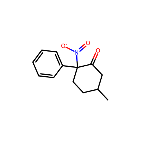 CC1CCC(c2ccccc2)([N+](=O)[O-])C(=O)C1